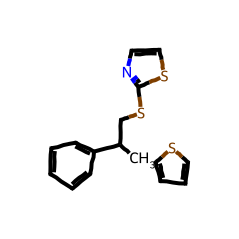 CC(CSc1nccs1)c1ccccc1.c1ccsc1